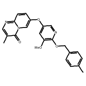 COc1cc(Oc2ccc3ncc(C)c(=O)n3c2)cnc1OCc1ccc(C)cc1